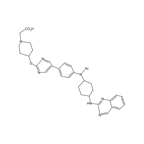 CC(=O)N(c1ccc(-c2cnc(OC3CCN(CC(=O)O)CC3)nc2)cc1)C1CCC(Nc2ncc3ccccc3n2)CC1